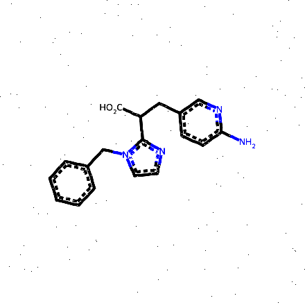 Nc1ccc(CC(C(=O)O)c2nccn2Cc2ccccc2)cn1